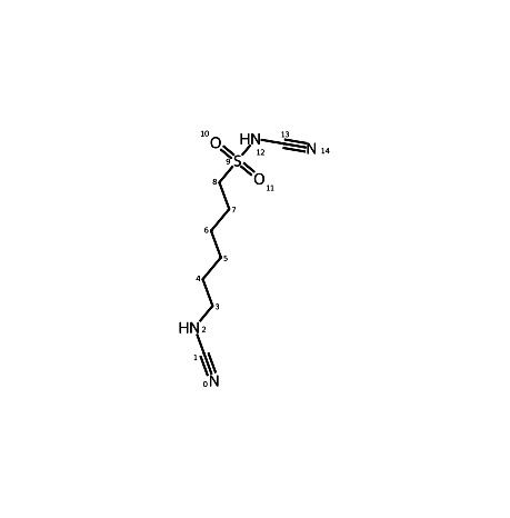 N#CNCCCCCCS(=O)(=O)NC#N